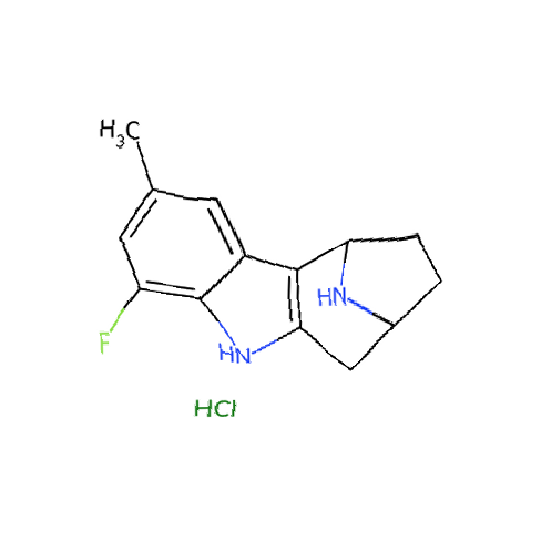 Cc1cc(F)c2[nH]c3c(c2c1)C1CCC(C3)N1.Cl